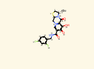 CC(C)(C)[C@H]1CSC2Cn3cc(C(=O)NCc4ccc(F)cc4F)c(=O)c(O)c3C(=O)N21